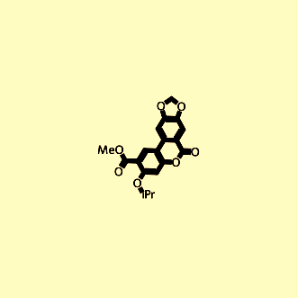 COC(=O)c1cc2c(cc1OC(C)C)oc(=O)c1cc3c(cc12)OCO3